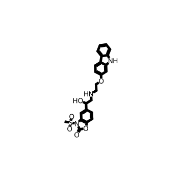 CS(=O)(=O)n1c(=O)oc2ccc(C(O)CNCCOc3ccc4c(c3)[nH]c3ccccc34)cc21